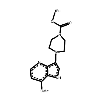 COc1ccnc2c(N3CCN(C(=O)OC(C)(C)C)CC3)c[nH]c12